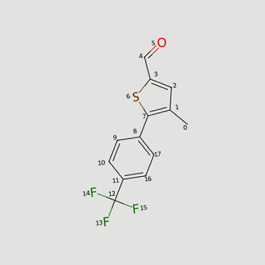 Cc1cc(C=O)sc1-c1ccc(C(F)(F)F)cc1